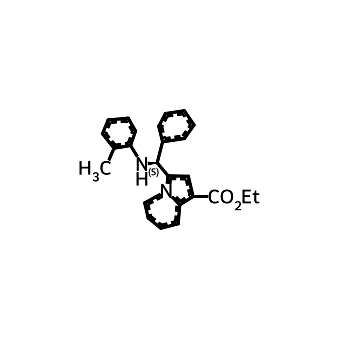 CCOC(=O)c1cc([C@@H](Nc2ccccc2C)c2ccccc2)n2ccccc12